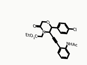 CCOC(=O)CN1C(=O)COC(c2ccc(Cl)cc2)C1C#Cc1ccccc1NC(C)=O